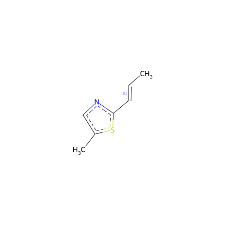 C/C=C/c1ncc(C)s1